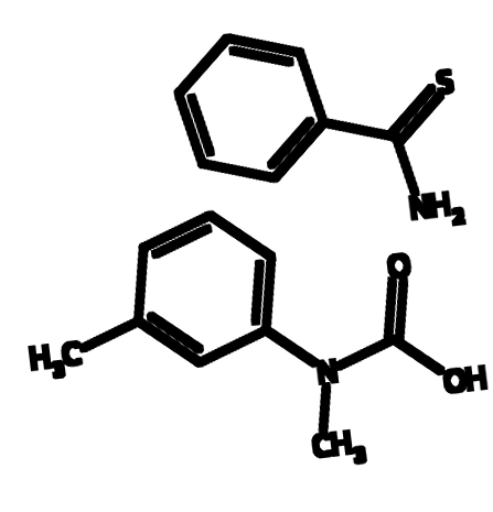 Cc1cccc(N(C)C(=O)O)c1.NC(=S)c1ccccc1